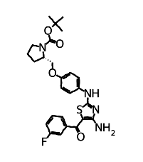 CC(C)(C)OC(=O)N1CCC[C@H]1COc1ccc(Nc2nc(N)c(C(=O)c3cccc(F)c3)s2)cc1